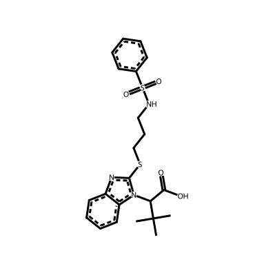 CC(C)(C)C(C(=O)O)n1c(SCCCNS(=O)(=O)c2ccccc2)nc2ccccc21